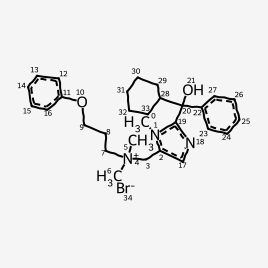 Cn1c(C[N+](C)(C)CCCOc2ccccc2)cnc1C(O)(c1ccccc1)C1CCCCC1.[Br-]